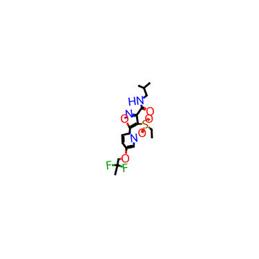 CCS(=O)(=O)c1c(C(=O)NCC(C)C)noc1-c1ccc(OCC(C)(F)F)cn1